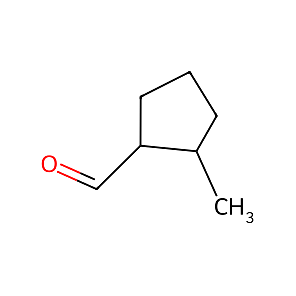 CC1CCCC1C=O